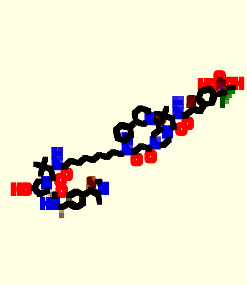 Cc1ncsc1-c1ccc([C@H](C)NC(=O)[C@@H]2C[C@@H](O)CN2C(=O)[C@@H](NC(=O)CCCCCCCCNC(=O)CC(=O)N2CCN(C(=O)[C@@H](NC(=O)c3cc4cc(C(F)(F)P(=O)(O)O)ccc4s3)C(C)(C)C)[C@H](C(=O)N3CCC[C@H](c4ccccc4)C3)C2)C(C)(C)C)cc1